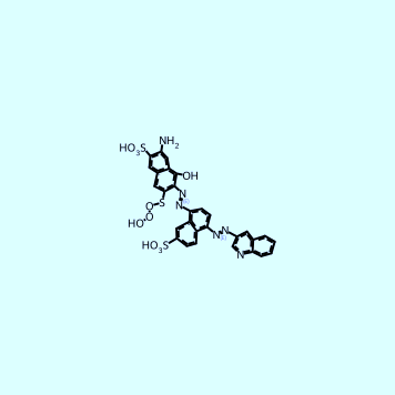 Nc1cc2c(O)c(/N=N/c3ccc(/N=N/c4cnc5ccccc5c4)c4ccc(S(=O)(=O)O)cc34)c(SOOO)cc2cc1S(=O)(=O)O